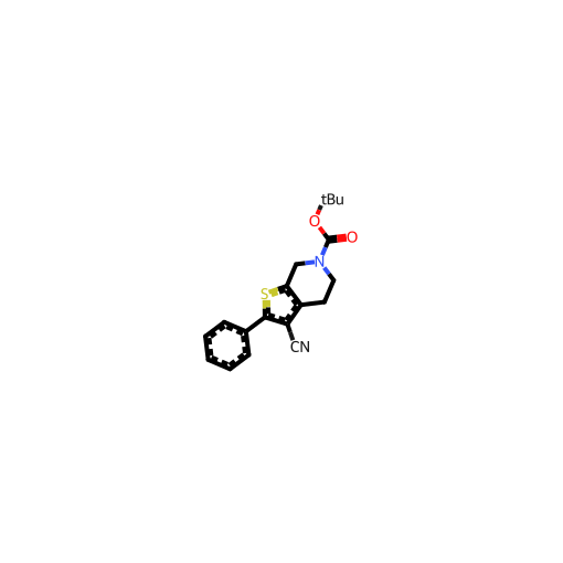 CC(C)(C)OC(=O)N1CCc2c(sc(-c3ccccc3)c2C#N)C1